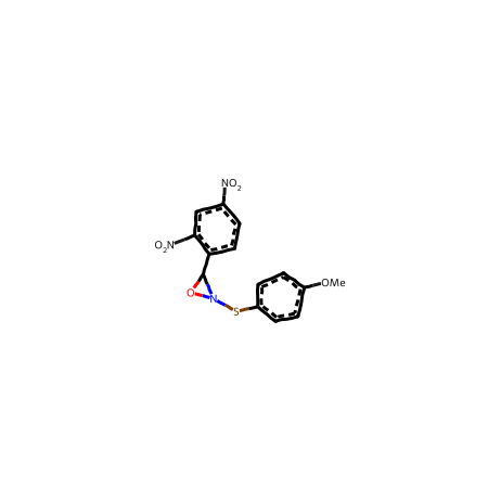 COc1ccc(SN2OC2c2ccc([N+](=O)[O-])cc2[N+](=O)[O-])cc1